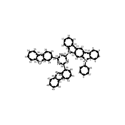 c1ccc(-n2c3ccccc3c3cc4c5ccccc5n(-c5nc(-c6ccc7c(c6)oc6ccccc67)nc(-c6cccc7c6sc6ccccc67)n5)c4cc32)cc1